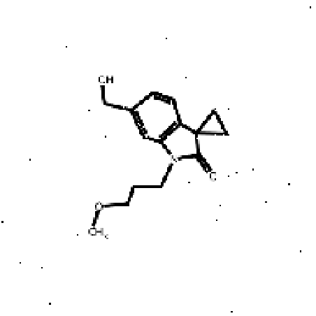 COCCCN1C(=O)C2(CC2)c2ccc(CO)cc21